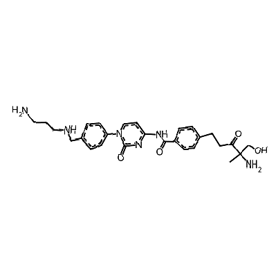 CC(N)(CO)C(=O)CCc1ccc(C(=O)Nc2ccn(-c3ccc(CNCCCN)cc3)c(=O)n2)cc1